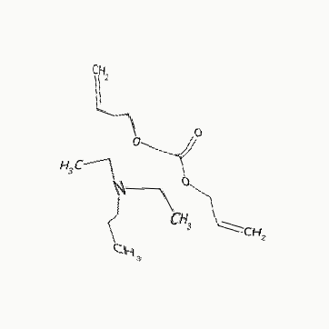 C=CCOC(=O)OCC=C.CCN(CC)CC